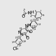 CC(=O)NCc1ccccc1-c1ccc(Oc2c(N)cnn(-c3ccc(Cl)cc3)c2=O)cc1